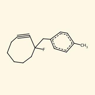 Cc1ccc(CC2(F)C#CCCCCC2)cc1